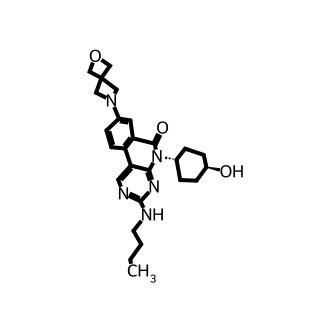 CCCCNc1ncc2c3ccc(N4CC5(COC5)C4)cc3c(=O)n([C@H]3CC[C@H](O)CC3)c2n1